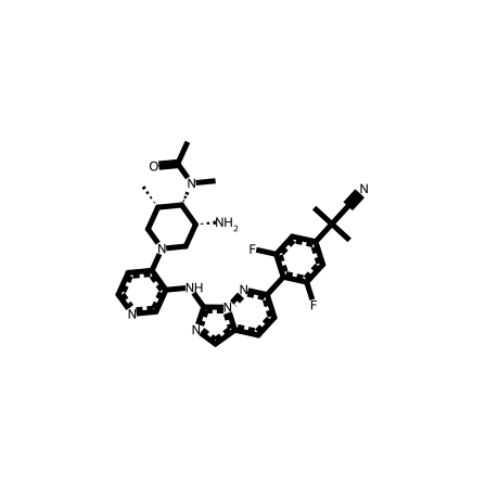 CC(=O)N(C)[C@@H]1[C@H](N)CN(c2ccncc2Nc2ncc3ccc(-c4c(F)cc(C(C)(C)C#N)cc4F)nn23)C[C@@H]1C